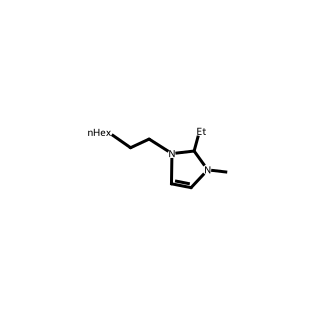 CCCCCCCCN1C=CN(C)C1CC